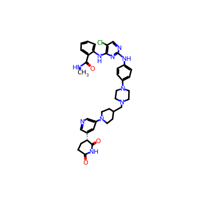 CNC(=O)c1ccccc1Nc1nc(Nc2ccc(N3CCN(CC4CCN(c5cncc([C@H]6CCC(=O)NC6=O)c5)CC4)CC3)cc2)ncc1Cl